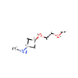 CC(C)N[C@H]1C[C@@H](OCCOC(C)C)C1